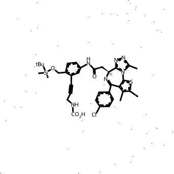 Cc1sc2c(c1C)C(c1ccc(Cl)cc1)=N[C@@H](CC(=O)Nc1ccc(CO[Si](C)(C)C(C)(C)C)c(C#CCNC(=O)O)c1)c1nnc(C)n1-2